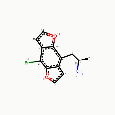 C[C@@H](N)Cc1c2ccoc2c(Br)c2ccoc12